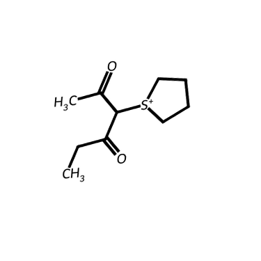 CCC(=O)C(C(C)=O)[S+]1CCCC1